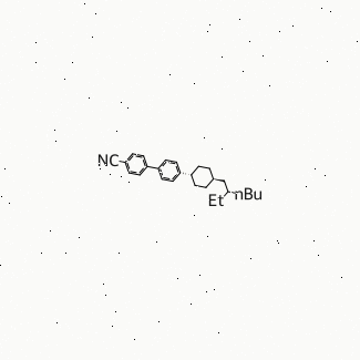 CCCCC(CC)C[C@H]1CC[C@H](c2ccc(-c3ccc(C#N)cc3)cc2)CC1